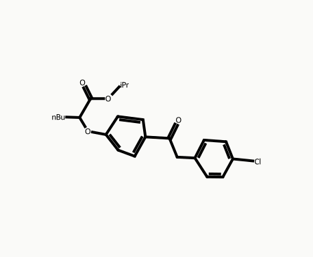 CCCCC(Oc1ccc(C(=O)Cc2ccc(Cl)cc2)cc1)C(=O)OC(C)C